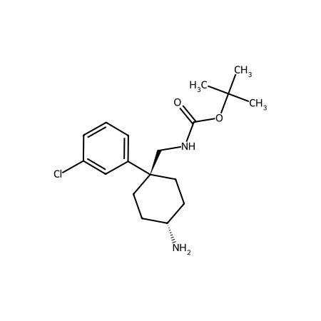 CC(C)(C)OC(=O)NC[C@]1(c2cccc(Cl)c2)CC[C@@H](N)CC1